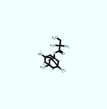 CCC(C)(C)C(=O)OC12CC3(C)CC(C)(CC(O)(C3)C1)C2